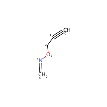 C#CCON=C